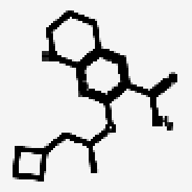 C[C@@H](CC1CCC1)Oc1nc2c(cc1C(N)=O)CCCN2